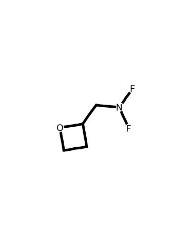 FN(F)CC1CCO1